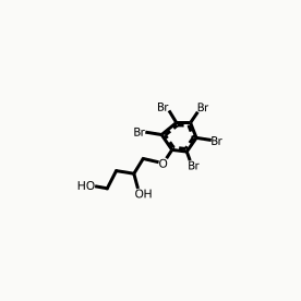 OCCC(O)COc1c(Br)c(Br)c(Br)c(Br)c1Br